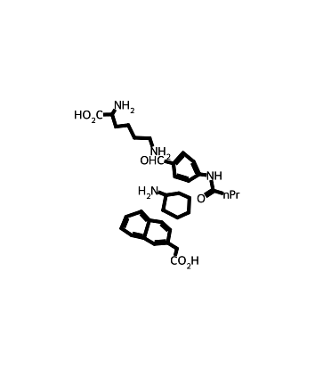 CCCC(=O)Nc1ccc(C=O)cc1.NC1CCCCC1.NCCCCC(N)C(=O)O.O=C(O)Cc1ccc2ccccc2c1